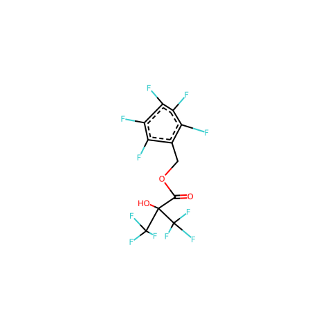 O=C(OCc1c(F)c(F)c(F)c(F)c1F)C(O)(C(F)(F)F)C(F)(F)F